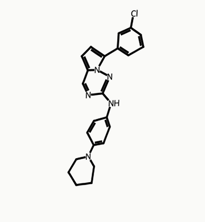 Clc1cccc(-c2ccc3cnc(Nc4ccc(N5CCCCC5)cc4)nn23)c1